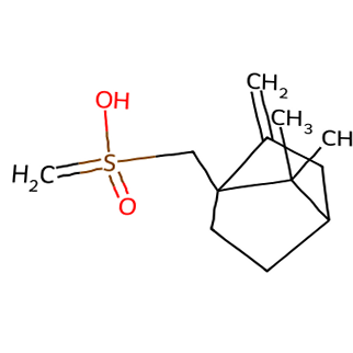 C=C1CC2CCC1(CS(=C)(=O)O)C2(C)C